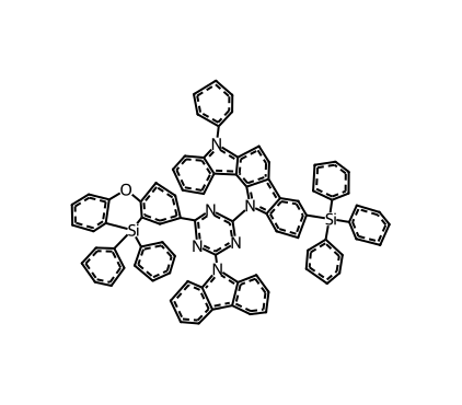 c1ccc(-n2c3ccccc3c3c2ccc2c4cc([Si](c5ccccc5)(c5ccccc5)c5ccccc5)ccc4n(-c4nc(-c5ccc6c(c5)[Si](c5ccccc5)(c5ccccc5)c5ccccc5O6)nc(-n5c6ccccc6c6ccccc65)n4)c23)cc1